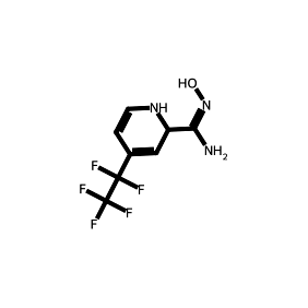 N/C(=N/O)C1C=C(C(F)(F)C(F)(F)F)C=CN1